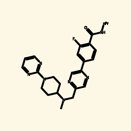 CCCNC(=O)c1ccc(-c2cnc(CN(C)C3CCN(c4ncccn4)CC3)cn2)cc1F